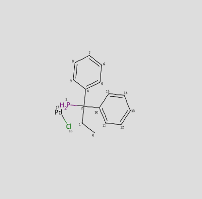 CCC(P)(c1ccccc1)c1ccccc1.[Cl][Pd]